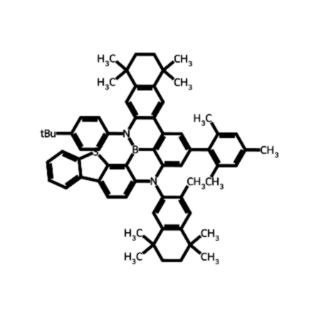 Cc1cc(C)c(-c2cc3c4c(c2)N(c2cc5c(cc2C)C(C)(C)CCC5(C)C)c2ccc5c(sc6ccccc65)c2B4N(c2ccc(C(C)(C)C)cc2)c2cc4c(cc2-3)C(C)(C)CCC4(C)C)c(C)c1